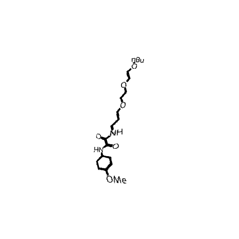 CCCCOCCOCCOCCCNC(=O)C(=O)NC1CCC(OC)CC1